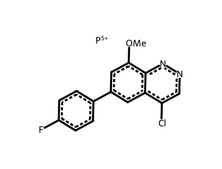 COc1cc(-c2ccc(F)cc2)cc2c(Cl)cnnc12.[P+5]